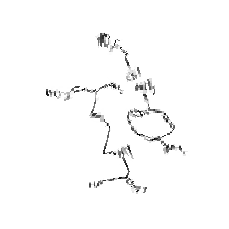 N=C(N)NCCCC(N)C(=O)O.Nc1ccc(N)cc1.O=C(O)CO